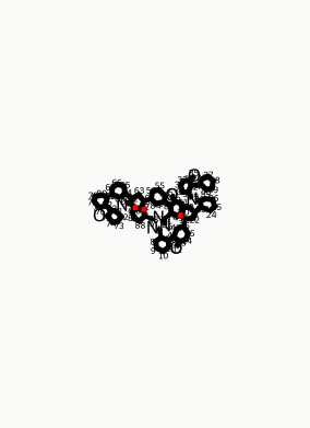 c1ccc(-c2nc(-c3cccc4oc5ccc(-c6ccc7c(c6)c6ccccc6n7-c6cccc7oc8ccccc8c67)cc5c34)nc(-c3cccc4oc5ccc(-c6ccc7c(c6)c6ccccc6n7-c6cccc7oc8ccccc8c67)cc5c34)n2)cc1